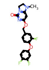 CN1CCn2c1cc(OCc1ccc(Oc3ccc(F)c(F)c3)c(F)c1)nc2=O